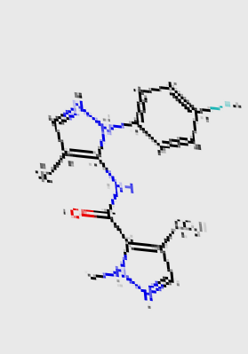 Cn1ncc(C(=O)O)c1C(=O)Nc1c(C#N)cnn1-c1ccc(F)cc1